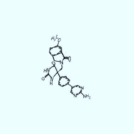 COc1ccc2c(c1)C(=O)N(C[C@@]1(c3ccc(-c4cnc(N)nc4)cc3)NC(=O)NC1=O)C2